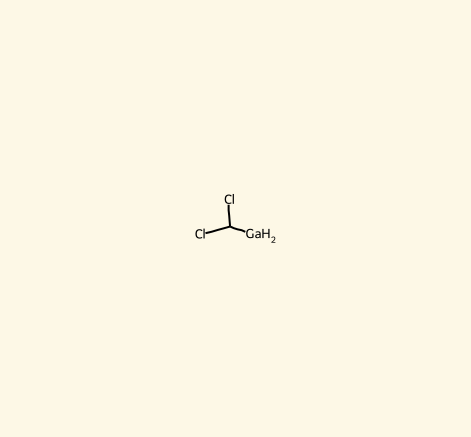 Cl[CH](Cl)[GaH2]